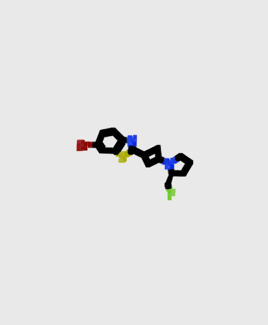 FC[C@@H]1CCCN1C1CC(c2nc3ccc(Br)cc3s2)C1